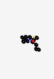 c1ccc(C2(c3ccccc3)c3ccccc3-c3ccc(N(c4ccc(-c5cccc(-c6cccc7ccccc67)c5)cc4)c4ccccc4-c4cccc5c4sc4ccccc45)cc32)cc1